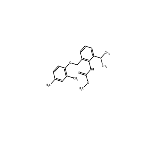 COC(=S)Nc1c(COc2ccc(C)cc2C)cccc1C(C)C